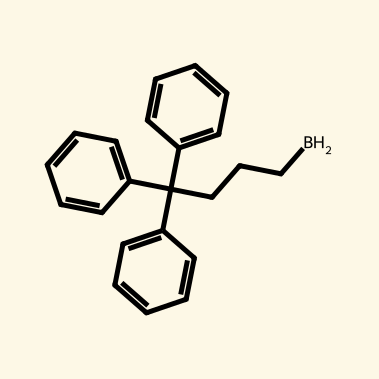 BCCCC(c1ccccc1)(c1ccccc1)c1ccccc1